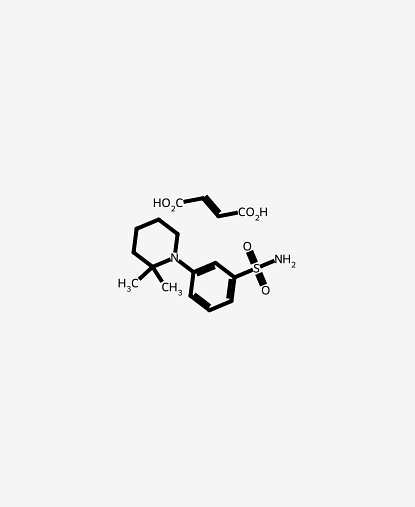 CC1(C)CCCCN1c1cccc(S(N)(=O)=O)c1.O=C(O)C=CC(=O)O